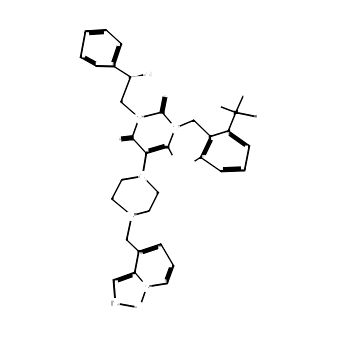 Cc1c(N2CCN(CC3=CC=CN4ONC=C34)CC2)c(=O)n(C[C@H](N)c2ccccc2)c(=O)n1Cc1c(F)cccc1C(F)(F)F